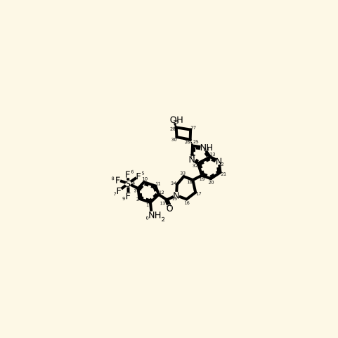 Nc1cc(S(F)(F)(F)(F)F)ccc1C(=O)N1CCC(c2ccnc3[nH]c([C@H]4C[C@H](O)C4)nc23)CC1